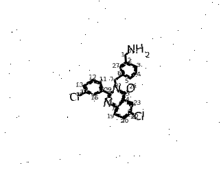 NCc1cccc(Cn2c(-c3cccc(Cl)c3)nc3ccc(Cl)cc3c2=O)c1